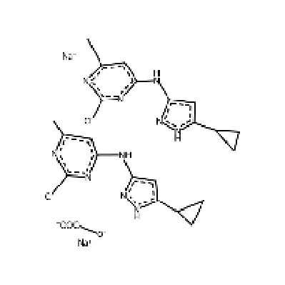 Cc1cc(Nc2cc(C3CC3)[nH]n2)nc(Cl)n1.Cc1cc(Nc2cc(C3CC3)[nH]n2)nc(Cl)n1.O=C([O-])[O-].[Na+].[Na+]